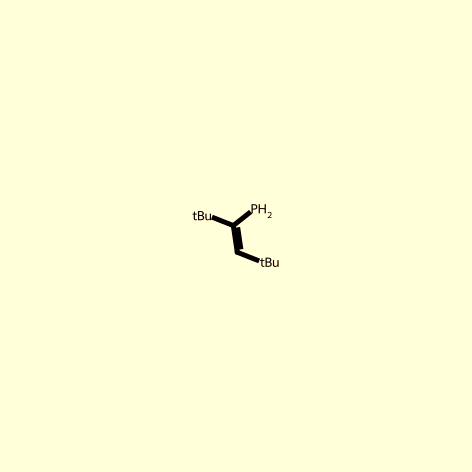 CC(C)(C)/C=C(\P)C(C)(C)C